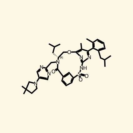 Cc1cccc(CC(C)C)c1-c1nc2nc(c1C)OC[C@@H](CC(C)C)N(Cc1ncc(N3CCC(C)(C)C3)cn1)C(=O)c1cccc(c1)S(=O)(=O)N2